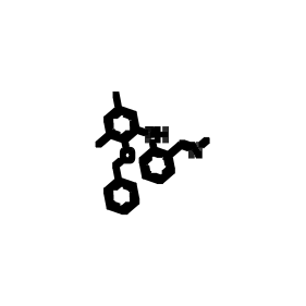 C/N=C/c1ccccc1Pc1cc(C)cc(C)c1OCc1ccccc1